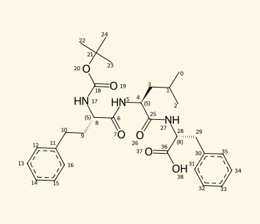 CC(C)C[C@H](NC(=O)[C@H](CCc1ccccc1)NC(=O)OC(C)(C)C)C(=O)N[C@H](Cc1ccccc1)C(=O)O